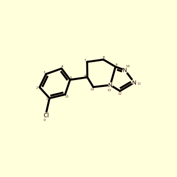 Clc1cccc(C2CCc3nncn3C2)c1